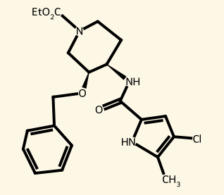 CCOC(=O)N1CC[C@@H](NC(=O)c2cc(Cl)c(C)[nH]2)[C@@H](OCc2ccccc2)C1